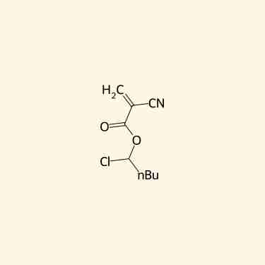 C=C(C#N)C(=O)OC(Cl)CCCC